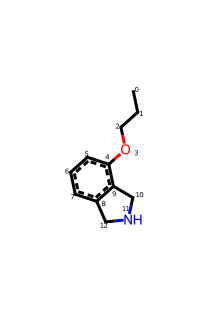 CCCOc1cccc2c1CNC2